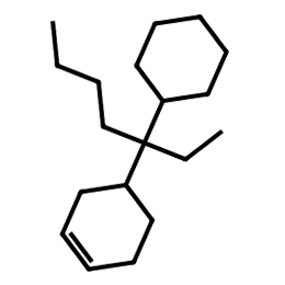 CCCCC(CC)(C1CC=CCC1)C1CCCCC1